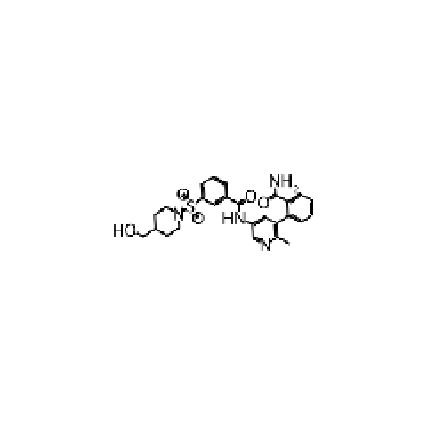 Cc1ncc(NC(=O)c2cccc(S(=O)(=O)N3CCC(CO)CC3)c2)cc1-c1ccccc1C(N)=O